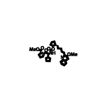 COC(=O)[C@@H]1CCCN1C(=O)[C@@H](NC(=O)O[C@H]1CCC[C@@H]1CCCCCc1nc2ccccc2cc1OC)C1CCCC1